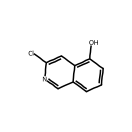 Oc1cccc2cnc(Cl)cc12